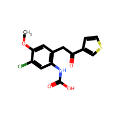 COc1cc(CC(=O)c2ccsc2)c(NC(=O)O)cc1Cl